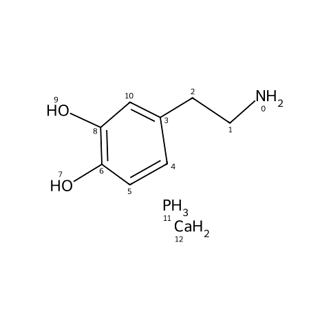 NCCc1ccc(O)c(O)c1.P.[CaH2]